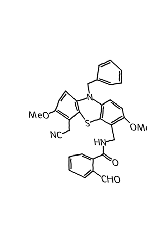 COc1ccc2c(c1CC#N)Sc1c(ccc(OC)c1CNC(=O)c1ccccc1C=O)N2Cc1ccccc1